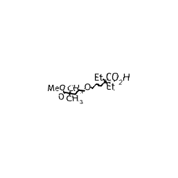 CCC(CC)(CCCOCCCC(C)(C)C(=O)OC)C(=O)O